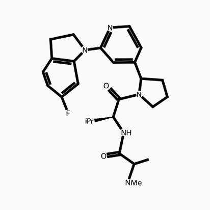 CNC(C)C(=O)N[C@H](C(=O)N1CCCC1c1ccnc(N2CCc3ccc(F)cc32)c1)C(C)C